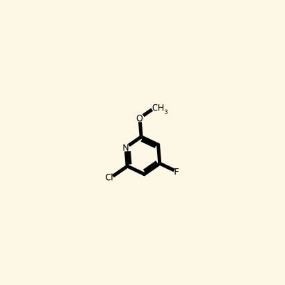 COc1cc(F)cc(Cl)n1